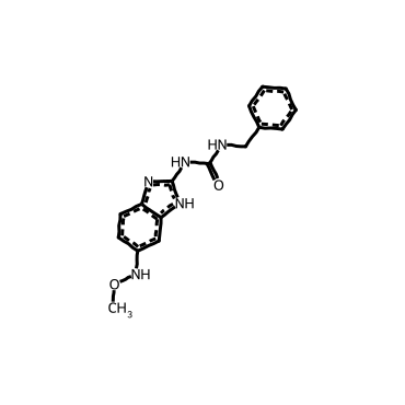 CONc1ccc2nc(NC(=O)NCc3ccccc3)[nH]c2c1